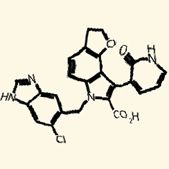 O=C(O)c1c(-c2ccc[nH]c2=O)c2c3c(ccc2n1Cc1cc2nc[nH]c2cc1Cl)CCO3